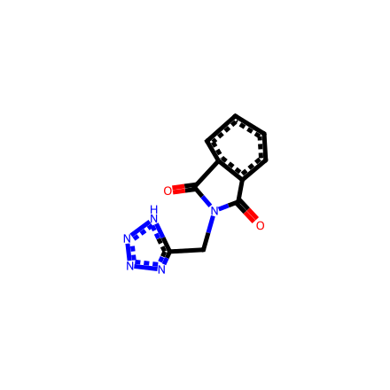 O=C1c2ccccc2C(=O)N1Cc1nnn[nH]1